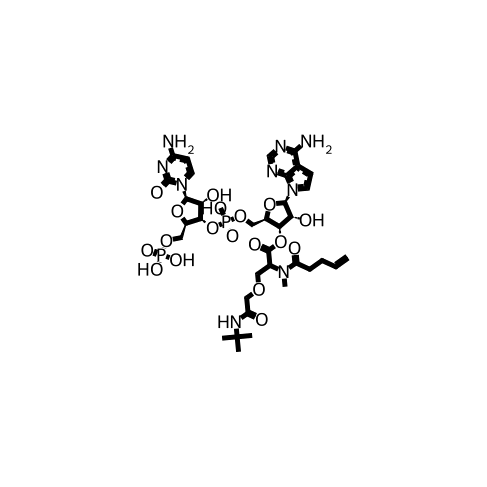 C=CCCC(=O)N(C)C(COCC(=O)NC(C)(C)C)C(=O)O[C@H]1[C@@H](O)[C@H](n2ccc3c(N)ncnc32)O[C@@H]1COP(=O)(O)O[C@H]1[C@@H](O)[C@H](n2ccc(N)nc2=O)O[C@@H]1COP(=O)(O)O